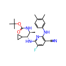 Cc1ccc(Nc2nc(N[C@H](C3CC3)[C@H](C)NC(=O)OC(C)(C)C)c(F)cc2C#N)cc1C